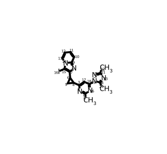 Cc1nc(C2CC2c2nc3ccccn3c2I)cc(-n2nc(C)nc2C)n1